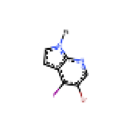 [CH2]Cn1ccc2c(I)c(Br)cnc21